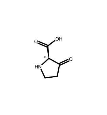 O=C(O)[C@@H]1NCCC1=O